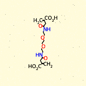 C=C(CC(=O)NCCOCCOCCNC(=O)CC(=C)C(=O)O)C(=O)O